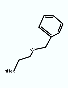 CCCCCCC[CH2][Al][CH2]c1ccccc1